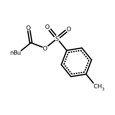 CCCCC(=O)OS(=O)(=O)c1ccc(C)cc1